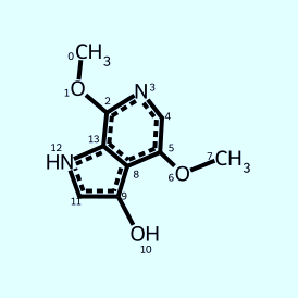 COc1ncc(OC)c2c(O)c[nH]c12